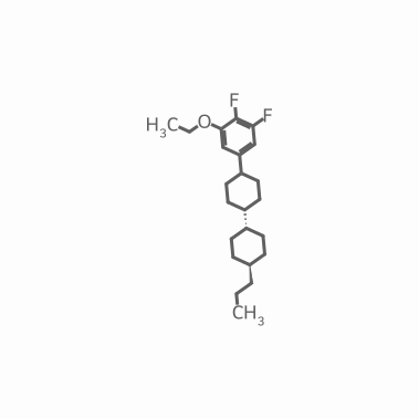 CCC[C@H]1CC[C@H](C2CCC(c3cc(F)c(F)c(OCC)c3)CC2)CC1